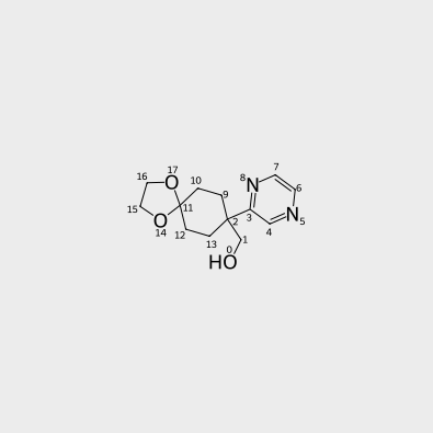 OCC1(c2cnccn2)CCC2(CC1)OCCO2